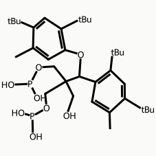 Cc1cc(OC(c2cc(C)c(C(C)(C)C)cc2C(C)(C)C)C(CO)(COP(O)O)COP(O)O)c(C(C)(C)C)cc1C(C)(C)C